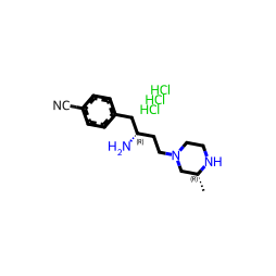 C[C@@H]1CN(CC[C@H](N)Cc2ccc(C#N)cc2)CCN1.Cl.Cl.Cl